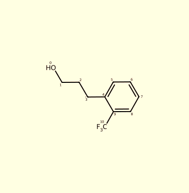 OCC[CH]c1ccccc1C(F)(F)F